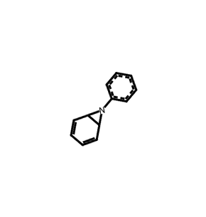 C1=CC2C(C=C1)N2c1ccccc1